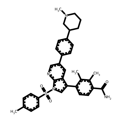 Cc1ccc(S(=O)(=O)n2cc(-c3ccc(C(N)=O)c(C)c3C)c3cc(-c4ccc(C5CCCN(C)C5)cc4)cnc32)cc1